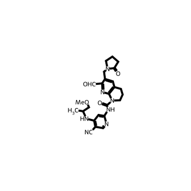 COCC(C)Nc1cc(NC(=O)N2CCCc3cc(CN4CCCC4=O)c(C=O)nc32)ncc1C#N